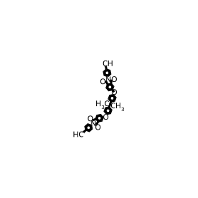 C#Cc1ccc(N2C(=O)c3ccc(Oc4ccc(C(C)(C)c5ccc(Oc6ccc7c(c6)C(=O)N(c6ccc(C#C)cc6)C7=O)cc5)cc4)cc3C2=O)cc1